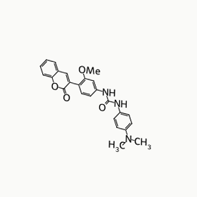 COc1cc(NC(=O)Nc2ccc(N(C)C)cc2)ccc1-c1cc2ccccc2oc1=O